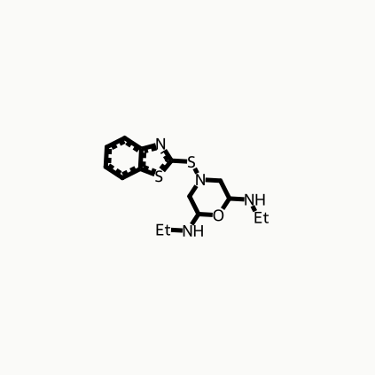 CCNC1CN(Sc2nc3ccccc3s2)CC(NCC)O1